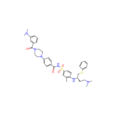 Cc1cc(S(=O)(=O)NC(=O)c2ccc(N3CCN(C(=O)c4cccc(N(C)C)c4)CC3)cc2)ccc1N[C@H](CCN(C)C)CSc1ccccc1